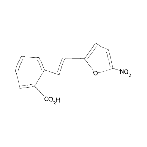 O=C(O)c1ccccc1C=Cc1ccc([N+](=O)[O-])o1